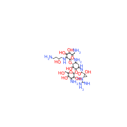 N=C(N)NC1CC1(O)C(=O)N[C@@H]1C[C@H](N)C(O[C@H]2O[C@H](CN)[C@@H](O)[C@H](O)[C@H]2NCC(O)CCN)[C@H](O)[C@H]1O[C@H]1O[C@H](CO)[C@@H](O)[C@H](N)[C@H]1O